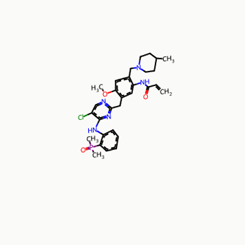 C=CC(=O)Nc1cc(Cc2ncc(Cl)c(Nc3ccccc3P(C)(C)=O)n2)c(OC)cc1CN1CCC(C)CC1